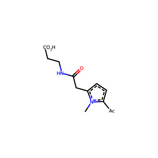 CC(=O)c1ccc(CC(=O)NCCC(=O)O)n1C